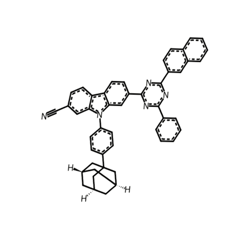 N#Cc1ccc2c3ccc(-c4nc(-c5ccccc5)nc(-c5ccc6ccccc6c5)n4)cc3n(-c3ccc(C45C[C@H]6C[C@H](C4)C[C@@H](C5)C6)cc3)c2c1